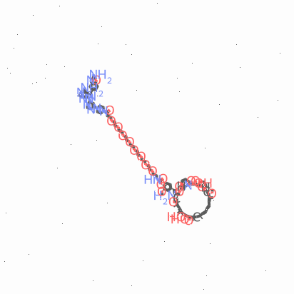 CO[C@H]1C[C@@H]2CC[C@@H](C)[C@@](O)(O2)C(=O)C(=O)N2CCCC[C@H]2C(=O)O[C@H]([C@H](N)C[C@@H]2CC[C@@H](OC(=O)NCCOCCOCCOCCOCCOCCOCCOCCOCCC(=O)N3CCN(c4cc(-n5nc(-c6ccc7oc(N)nc7c6)c6c(N)ncnc65)ncn4)CC3)[C@H](OC)C2)CC(=O)[C@H](C)/C=C(\C)[C@@H](O)[C@@H](O)C(=O)[C@H](C)C[C@H](C)/C=C/C=C/C=C/1C